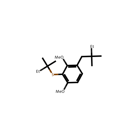 CCC(C)(C)Cc1ccc(OC)c(SC(C)(C)CC)c1OC